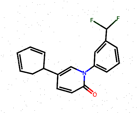 O=c1ccc(C2C=CC=CC2)cn1-c1cccc(C(F)F)c1